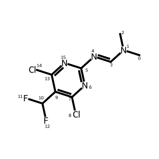 CN(C)C=Nc1nc(Cl)c(C(F)F)c(Cl)n1